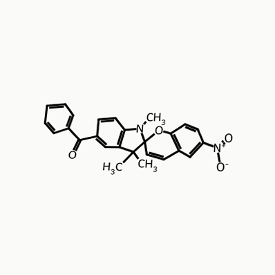 CN1c2ccc(C(=O)c3ccccc3)cc2C(C)(C)C12C=Cc1cc([N+](=O)[O-])ccc1O2